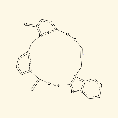 O=C1CNc2nc3ccccc3n2C/C=C\COc2ccc(=O)n(n2)Cc2cccc1c2